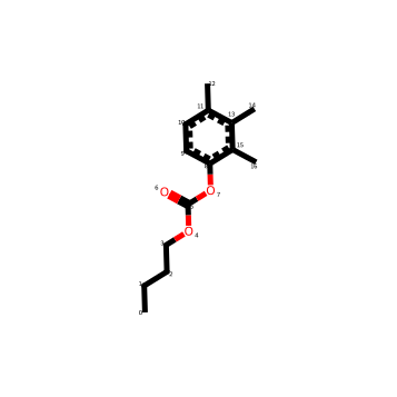 CCCCOC(=O)Oc1ccc(C)c(C)c1C